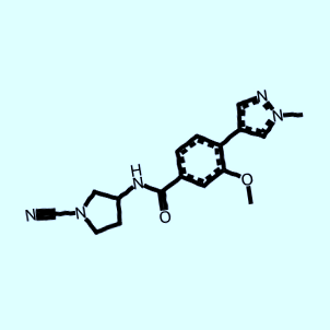 COc1cc(C(=O)NC2CCN(C#N)C2)ccc1-c1cnn(C)c1